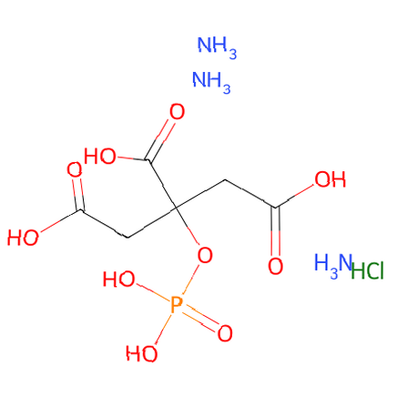 Cl.N.N.N.O=C(O)CC(CC(=O)O)(OP(=O)(O)O)C(=O)O